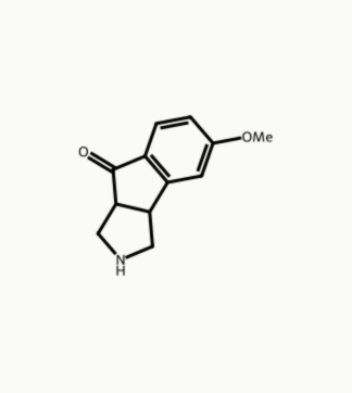 COc1ccc2c(c1)C1CNCC1C2=O